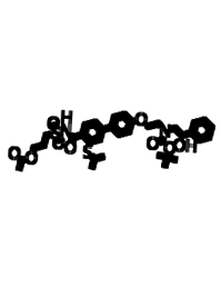 CC(=O)OCCCS(=O)(=O)NC(=O)c1ccc(-c2ccc(OCCN(C[C@H](O)c3ccccc3)C(=O)OC(C)(C)C)cc2)cc1SC(C)C